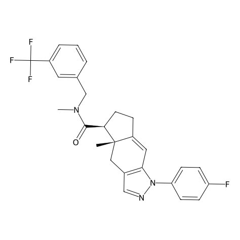 CN(Cc1cccc(C(F)(F)F)c1)C(=O)[C@H]1CCC2=Cc3c(cnn3-c3ccc(F)cc3)C[C@@]21C